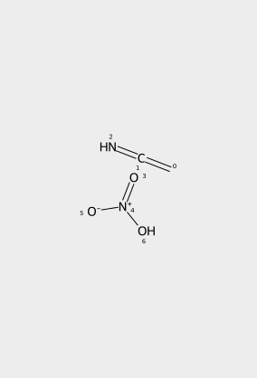 C=C=N.O=[N+]([O-])O